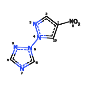 O=[N+]([O-])c1cnn(-n2cncn2)c1